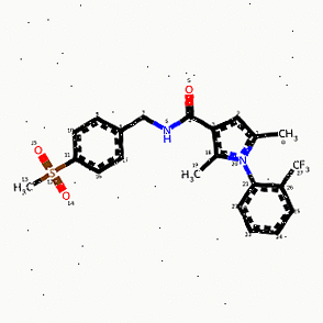 Cc1cc(C(=O)NCc2ccc(S(C)(=O)=O)cc2)c(C)n1-c1ccccc1C(F)(F)F